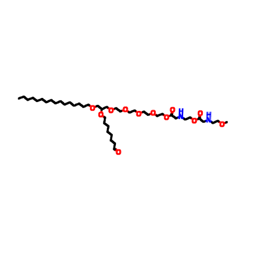 CCCCCCCCCCCCCCCCOCC(COCCOCCOCCOCCOC(=O)CNCCOC(=O)CNCCOC)OCCCCCCCC=O